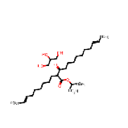 CCCCCCCCC=CCCCCCCCC(=O)C(CCCCCCC=CCCCCCCCC)C(=O)OC(CCCCCCCCCC)C(=O)O.OCC(O)CO